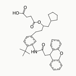 CC(C)(C)c1ccc(CCC(CC2CCCC2)OC(=O)CCC(=O)O)cc1NC(=O)CC1c2ccccc2Oc2ccccc21